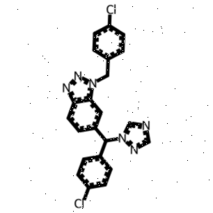 Clc1ccc(Cn2nnc3ccc(C(c4ccc(Cl)cc4)n4cncn4)cc32)cc1